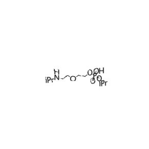 CC(C)NCCOCCOP(=O)(O)OC(C)C